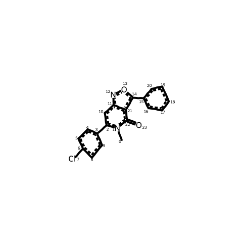 Cn1c(-c2ccc(Cl)cc2)cc2noc(-c3ccccc3)c2c1=O